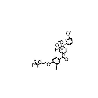 COc1cccc([C@]23CCN(C(=O)c4ccc(OCCOC(F)(F)F)c(C)c4)C[C@H]2OCO3)n1